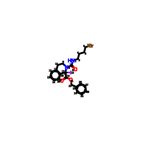 O=C(NCCCCBr)N1CCc2ccccc2[C@@]1(I)C(=O)OCc1ccccc1